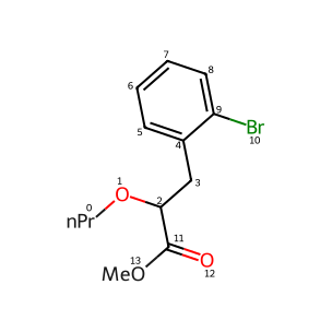 CCCOC(Cc1ccccc1Br)C(=O)OC